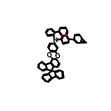 C1=CC2C=C2C=C1c1ccc(N(c2ccc3c(c2)OC2C=CC4=C(c5ccccc5C45c4ccccc4-c4ccccc45)C2O3)c2ccccc2-c2ccccc2)cc1